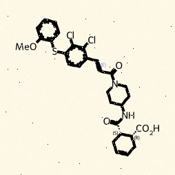 COc1ccccc1Sc1ccc(/C=C/C(=O)N2CCC(NC(=O)[C@H]3CC=CC[C@H]3C(=O)O)CC2)c(Cl)c1Cl